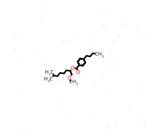 CCCCc1ccc(C(=O)OC(CCCCC(C)C)COC)cc1